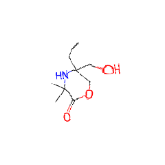 CCC1(CO)COC(=O)C(C)(C)N1